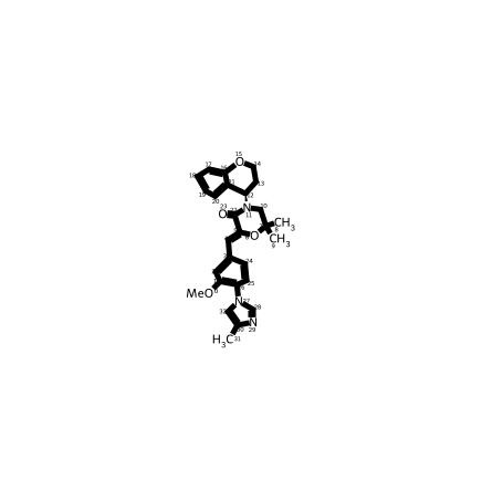 COc1cc(/C=C2\OC(C)(C)CN([C@H]3CCOc4ccccc43)C2=O)ccc1-n1cnc(C)c1